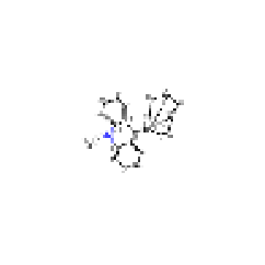 CN1c2ccccc2C(=C2C3CC4CC(C3)CC2C4)c2ccccc21